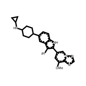 COc1cc(-c2[nH]c3ccc(C4CCC(NC5CC5)CC4)cc3c2C(C)C)cn2ncnc12